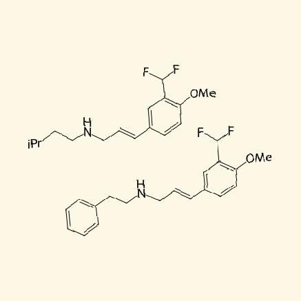 COc1ccc(C=CCNCCC(C)C)cc1C(F)F.COc1ccc(C=CCNCCc2ccccc2)cc1C(F)F